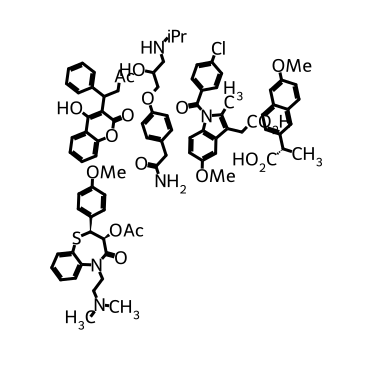 CC(=O)CC(c1ccccc1)c1c(O)c2ccccc2oc1=O.CC(C)NCC(O)COc1ccc(CC(N)=O)cc1.COc1ccc([C@@H]2Sc3ccccc3N(CCN(C)C)C(=O)[C@@H]2OC(C)=O)cc1.COc1ccc2c(c1)c(CC(=O)O)c(C)n2C(=O)c1ccc(Cl)cc1.COc1ccc2cc([C@H](C)C(=O)O)ccc2c1